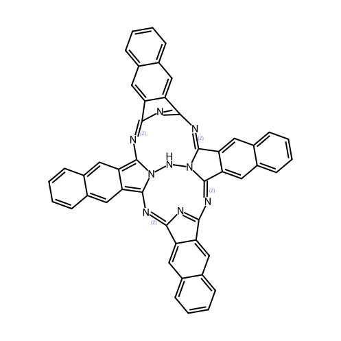 c1ccc2cc3c(cc2c1)C1=NC/3=N\c2c3cc4ccccc4cc3c3n2Nn2/c(c4cc5ccccc5cc4/c2=N/C2=NC(=N\3)/c3cc4ccccc4cc32)=N\1